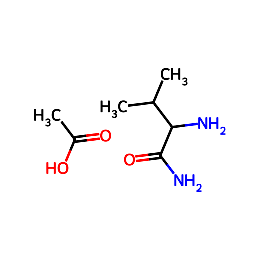 CC(=O)O.CC(C)C(N)C(N)=O